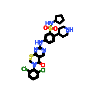 O=C1c2cnc(Nc3ccc(C4CCNCC4)c(S(=O)(=O)NC4CCCC4)c3)nc2SCN1c1c(Cl)cccc1Cl